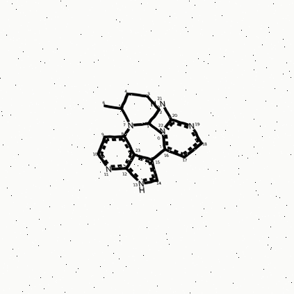 CC1CCCC(C)N1c1ccnc2[nH]cc(-c3ccnc(N)n3)c12